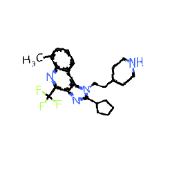 Cc1cccc2c1nc(C(F)(F)F)c1nc(C3CCCC3)n(CCC3CCNCC3)c12